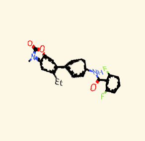 CCc1cc2c(cc1-c1ccc(NC(=O)c3c(F)cccc3F)cc1)oc(=O)n2C